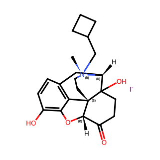 C[N@+]1(CC2CCC2)CC[C@]23c4c5ccc(O)c4O[C@H]2C(=O)CCC3(O)[C@H]1C5.[I-]